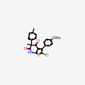 COc1ccc(-c2c(Cl)sc3c2C(=O)C(C)(c2ccc(C)cc2)C(=O)N3)cc1